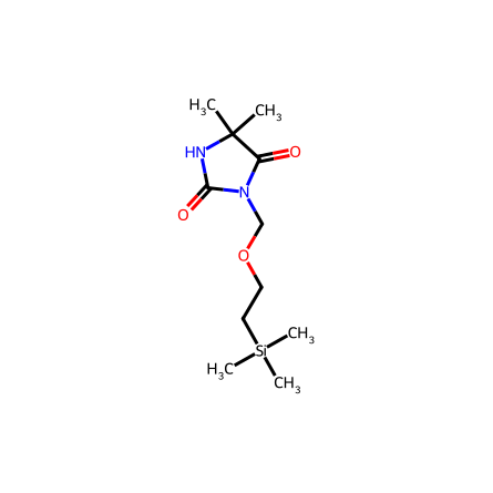 CC1(C)NC(=O)N(COCC[Si](C)(C)C)C1=O